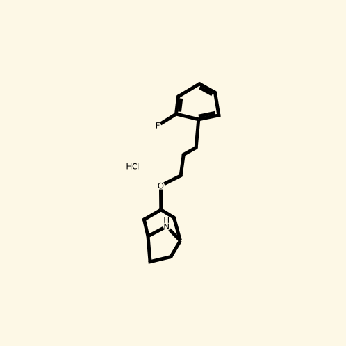 Cl.Fc1ccccc1CCCOC1CC2CCC(C1)N2